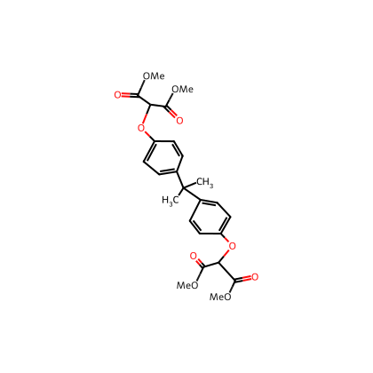 COC(=O)C(Oc1ccc(C(C)(C)c2ccc(OC(C(=O)OC)C(=O)OC)cc2)cc1)C(=O)OC